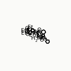 CCOP(=O)(OCC)C(c1ccc(C[C@@H](NC(=O)OC(C)(C)C)C(=O)N[C@H]2CCCCc3cc(OCC4CCCCC4)c(C(N)=O)cc32)cc1)P(=O)(OCC)OCC